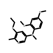 CCSc1cc(N(C)c2ccc(OC)cc2OC)cnc1C